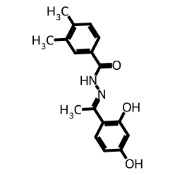 C/C(=N\NC(=O)c1ccc(C)c(C)c1)c1ccc(O)cc1O